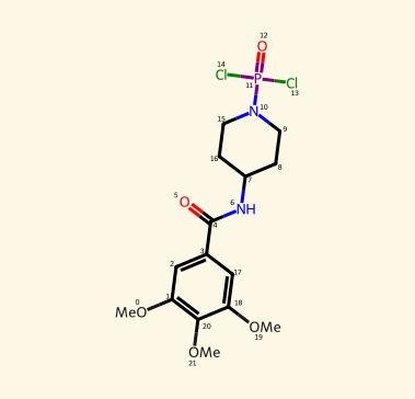 COc1cc(C(=O)NC2CCN(P(=O)(Cl)Cl)CC2)cc(OC)c1OC